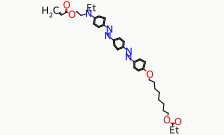 C=CC(=O)OCCN(CC)c1ccc(N=Nc2ccc(N=Nc3ccc(OCCCCCCCCOC(=O)CC)cc3)cc2)cc1